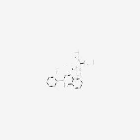 CCc1c(-c2ccccc2C)nc2ccccc2c1C(=O)NC(=N)N